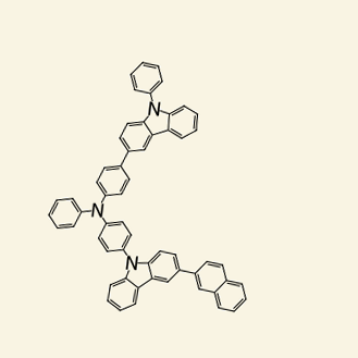 c1ccc(N(c2ccc(-c3ccc4c(c3)c3ccccc3n4-c3ccccc3)cc2)c2ccc(-n3c4ccccc4c4cc(-c5ccc6ccccc6c5)ccc43)cc2)cc1